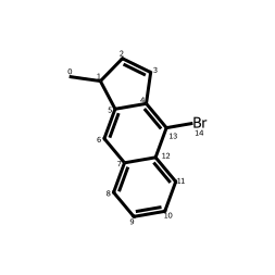 CC1C=Cc2c1cc1ccccc1c2Br